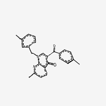 Cc1ccc(C(=O)c2cn(Cc3cccc(C)c3)c3nc(C)ccc3c2=O)cc1